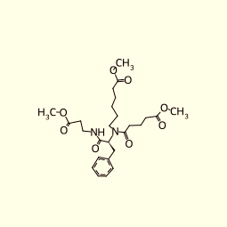 COC(=O)CCCCCN(C(=O)CCCC(=O)OC)[C@@H](Cc1ccccc1)C(=O)NCCC(=O)OC